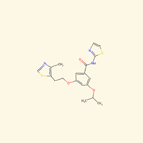 Cc1ncsc1CCOc1cc(OC(C)C)cc(C(=O)Nc2nccs2)c1